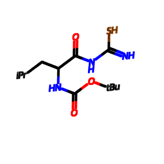 CC(C)CC(NC(=O)OC(C)(C)C)C(=O)NC(=N)S